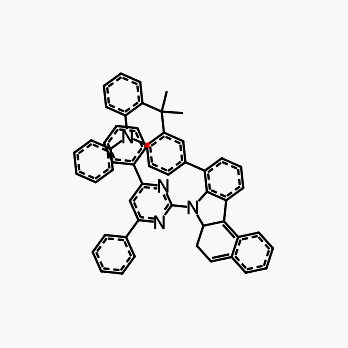 CC1(C)c2ccccc2N(c2ccccc2)c2ccc(-c3cccc4c3N(c3nc(-c5ccccc5)cc(-c5ccccc5)n3)C3CC=c5ccccc5=C43)cc21